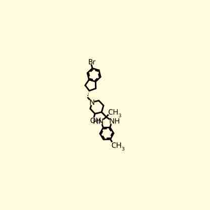 Cc1ccc2c(c1)NC(C)(C1CCN(C[C@H]3Cc4ccc(Br)cc4C3)CC1O)N2